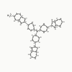 Cc1ccc2oc(-c3ccc(N(c4ccc(-c5nc6ccccc6s5)cc4)c4ccc(-c5nc6ccccc6s5)cc4)cc3)nc2c1